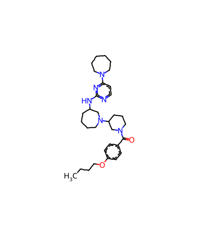 CCCCOc1ccc(C(=O)N2CCCC(N3CCCCC(Nc4nccc(N5CCCCCC5)n4)C3)C2)cc1